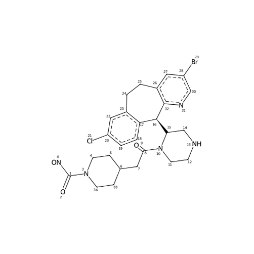 O=NC(=O)N1CCC(CC(=O)N2CCNCC2[C@H]2c3ccc(Cl)cc3CCc3cc(Br)cnc32)CC1